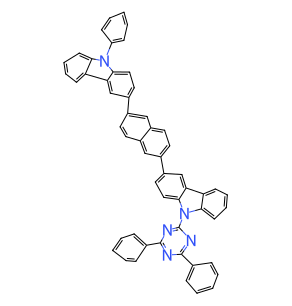 c1ccc(-c2nc(-c3ccccc3)nc(-n3c4ccccc4c4cc(-c5ccc6cc(-c7ccc8c(c7)c7ccccc7n8-c7ccccc7)ccc6c5)ccc43)n2)cc1